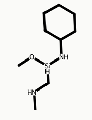 CNC[SiH](NC1CCCCC1)OC